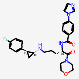 O=C(N[C@@H](CCCN[C@@H]1C[C@H]1c1ccc(F)cc1)C(=O)N1CCOCC1)c1ccc(-n2ccnc2)cc1